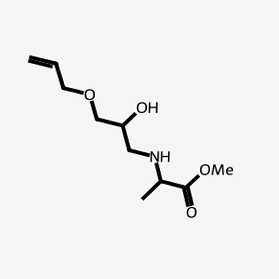 C=CCOCC(O)CNC(C)C(=O)OC